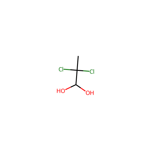 CC(Cl)(Cl)C(O)O